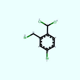 ClC(Cl)c1ccc(Br)cc1CBr